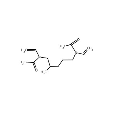 C=CN(CCCC(C)CN(C=C)C(C)=O)C(C)=O